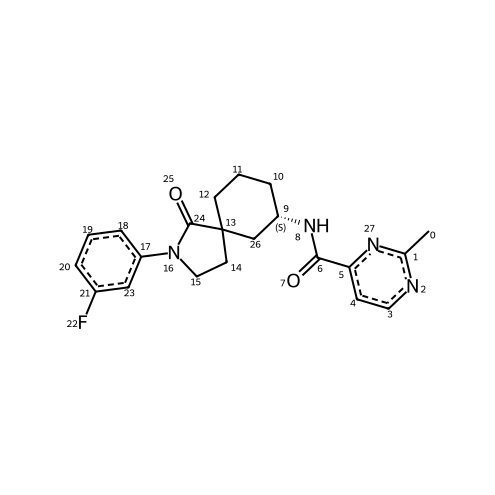 Cc1nccc(C(=O)N[C@H]2CCCC3(CCN(c4cccc(F)c4)C3=O)C2)n1